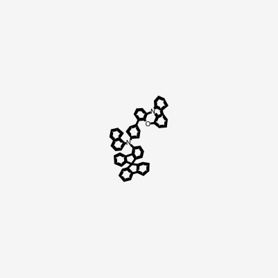 c1ccc2c(c1)-c1ccccc1C21c2ccccc2-c2c(N(c3ccc(-c4cccc5c4Oc4cccc6c7ccccc7n-5c46)cc3)c3cccc4ccccc34)cccc21